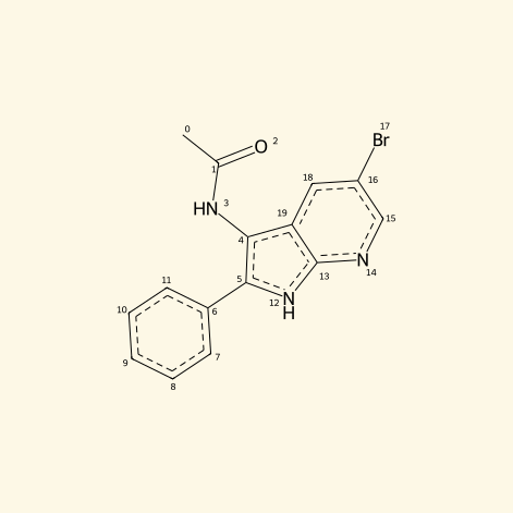 CC(=O)Nc1c(-c2ccccc2)[nH]c2ncc(Br)cc12